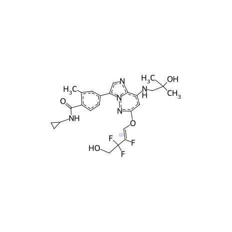 Cc1cc(-c2cnc3c(NCC(C)(C)O)cc(O/C=C(\F)C(F)(F)CO)nn23)ccc1C(=O)NC1CC1